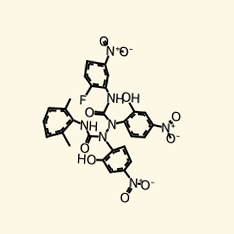 Cc1cccc(C)c1NC(=O)N(c1ccc([N+](=O)[O-])cc1O)N(C(=O)Nc1cc([N+](=O)[O-])ccc1F)c1ccc([N+](=O)[O-])cc1O